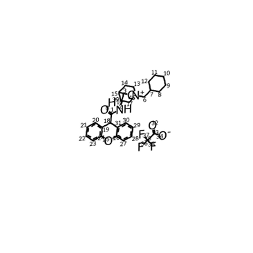 O=C(N[C@@H]1C[N+]2(CC3CCCCC3)CCC1CC2)C1c2ccccc2Oc2ccccc21.O=C([O-])C(F)(F)F